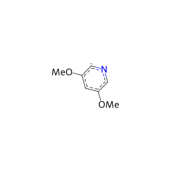 COc1[c]ncc(OC)c1